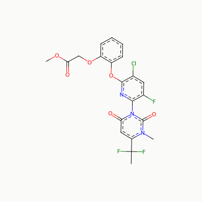 COC(=O)COc1ccccc1Oc1nc(-n2c(=O)cc(C(C)(F)F)n(C)c2=O)c(F)cc1Cl